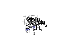 CCCCO[C@H](CP)C[C@H](OC(=O)C[C@H](O)C(C)(C)C(=O)[C@H](C)[C@H](C)O)/C(C)=C/C=C/S/C(C)=N\C